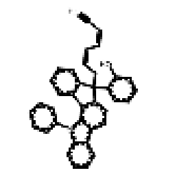 C#C/C=C\C=C/CC1(c2ccccc2O)c2ccccc2-c2c1ccc1c3ccccc3n(-c3ccccc3)c21